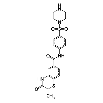 CC1Sc2ccc(C(=O)Nc3ccc(S(=O)(=O)N4CCNCC4)cc3)cc2NC1=O